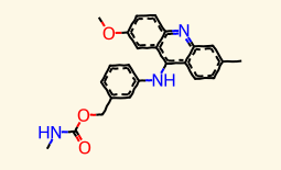 CNC(=O)OCc1cccc(Nc2c3ccc(C)cc3nc3ccc(OC)cc23)c1